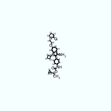 C[C@@H](OC(=O)Nc1ccc(-c2c(N)c3ccc(OCCN4CCCC4=O)cc3n2C2CCC2)cc1)C1CC1